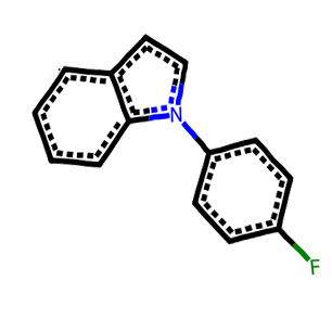 Fc1ccc(-n2ccc3[c]cccc32)cc1